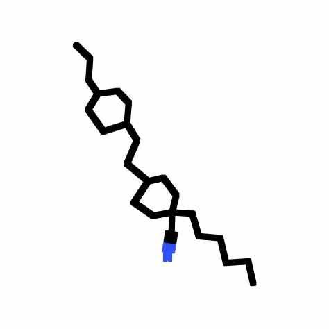 CCCCCCC1(C#N)CCC(CCC2CCC(CCC)CC2)CC1